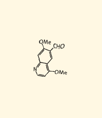 COc1cc2nccc(OC)c2cc1C=O